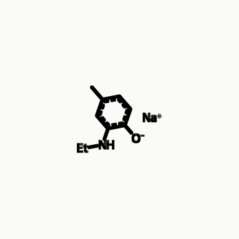 CCNc1cc(C)ccc1[O-].[Na+]